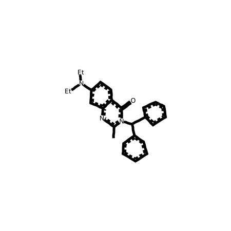 CCN(CC)c1ccc2c(=O)n(C(c3ccccc3)c3ccccc3)c(C)nc2c1